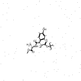 COC(=O)[C@H](N)NC(=O)[C@H](c1ccc(O)cc1)N(C)C(=O)OC(C)(C)C